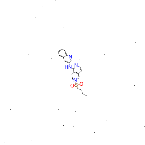 CCCCS(=O)(=O)N1CCc2c(ccnc2Nc2cnc3ccccc3c2)C1